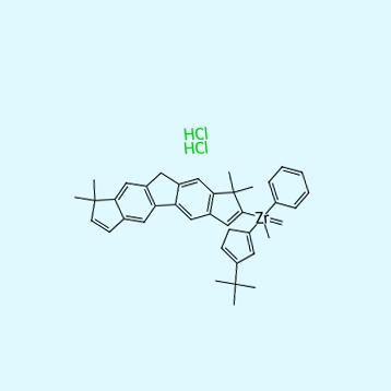 Cl.Cl.[CH2]=[Zr]([CH3])([C]1=CC(C(C)(C)C)=CC1)([C]1=Cc2cc3c(cc2C1(C)C)Cc1cc2c(cc1-3)C=CC2(C)C)[c]1ccccc1